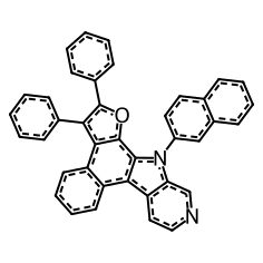 c1ccc(-c2oc3c(c2-c2ccccc2)c2ccccc2c2c4ccncc4n(-c4ccc5ccccc5c4)c32)cc1